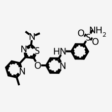 Cc1cccc(-c2nc(N(C)C)sc2Oc2ccnc(Nc3cccc(S(N)(=O)=O)c3)c2)n1